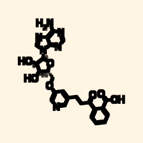 Nc1ncnc2c1ncn2[C@@H]1O[C@H](COc2cncc(CCC(=O)c3ccccc3C(=O)O)c2)[C@@H](O)[C@H]1O